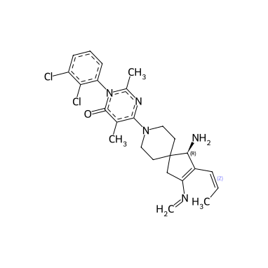 C=NC1=C(/C=C\C)[C@H](N)C2(CCN(c3nc(C)n(-c4cccc(Cl)c4Cl)c(=O)c3C)CC2)C1